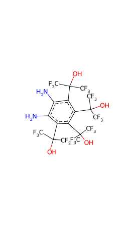 Nc1c(N)c(C(O)(C(F)(F)F)C(F)(F)F)c(C(O)(C(F)(F)F)C(F)(F)F)c(C(O)(C(F)(F)F)C(F)(F)F)c1C(O)(C(F)(F)F)C(F)(F)F